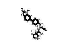 Cn1c(=O)oc2ccc(-c3ccc(C[C@@H](C#N)NC(=O)[C@]4(O)CCNC4)cc3)cc21